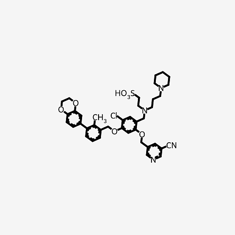 Cc1c(COc2cc(OCc3cncc(C#N)c3)c(CN(CCCN3CCCCC3)CCS(=O)(=O)O)cc2Cl)cccc1-c1ccc2c(c1)OCCO2